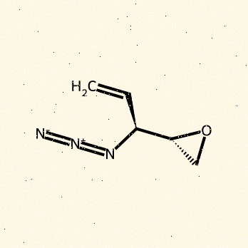 C=C[C@H](N=[N+]=[N-])[C@H]1CO1